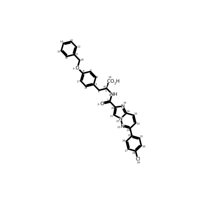 O=C(N[C@@H](Cc1ccc(OCc2ccccc2)cc1)C(=O)O)c1cn2nc(-c3ccc(Cl)cc3)ccc2n1